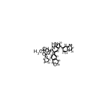 CC(C)(C)OC(=O)N1CCC[C@H]1c1cc(-c2cnc3[nH]cc(-c4ccn5ccnc5c4)c3c2)cc2c1COCC2